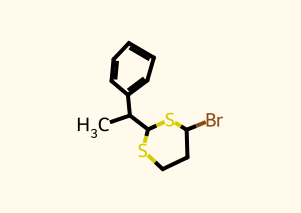 CC(c1ccccc1)C1SCCC(Br)S1